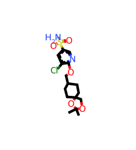 CC1(C)OCC2(CCC(COc3ncc(S(N)(=O)=O)cc3Cl)CC2)O1